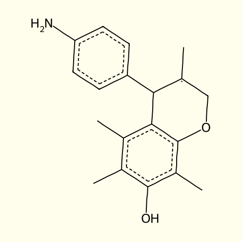 C[C]1COc2c(C)c(O)c(C)c(C)c2C1c1ccc(N)cc1